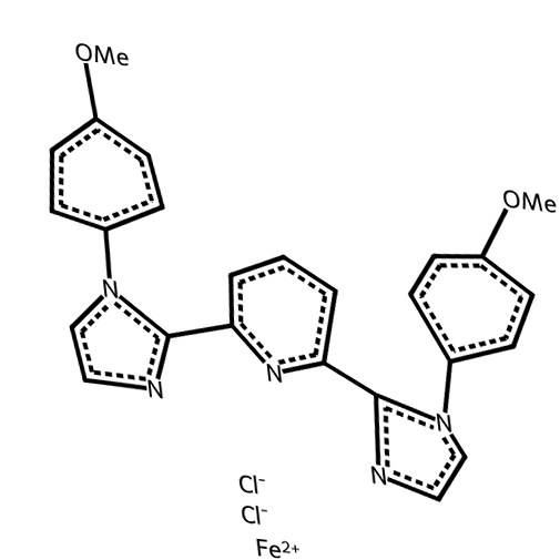 COc1ccc(-n2ccnc2-c2cccc(-c3nccn3-c3ccc(OC)cc3)n2)cc1.[Cl-].[Cl-].[Fe+2]